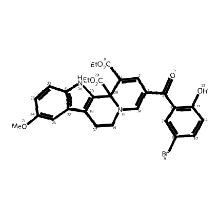 CCOC(=O)C1=CC(C(=O)c2cc(Br)ccc2O)=CN2CCc3c([nH]c4ccc(OC)cc34)C12C(=O)OCC